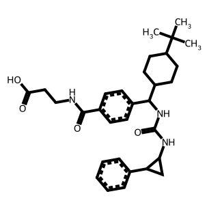 CC(C)(C)C1CCC(C(NC(=O)NC2CC2c2ccccc2)c2ccc(C(=O)NCCC(=O)O)cc2)CC1